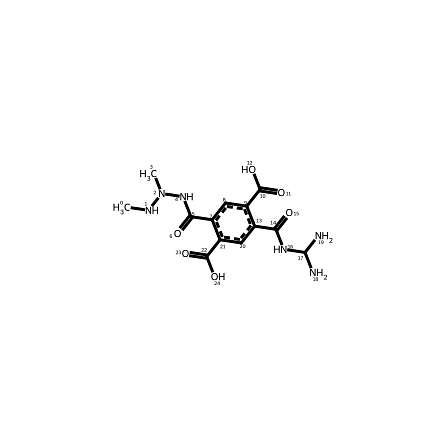 CNN(C)NC(=O)c1cc(C(=O)O)c(C(=O)NC(N)N)cc1C(=O)O